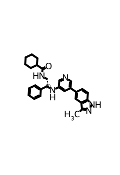 Cc1n[nH]c2ccc(-c3cncc(N[C@@H](CNC(=O)C4CCCCC4)c4ccccc4)c3)cc12